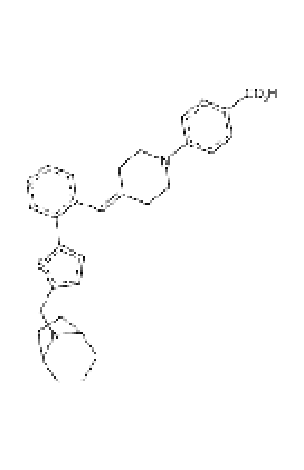 O=C(O)c1ccc(N2CCC(=Cc3ccccc3-c3ccc(CN4C5CCCC4CC5)s3)CC2)cc1